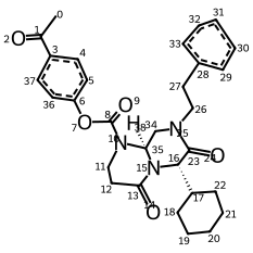 CC(=O)c1ccc(OC(=O)N2CCC(=O)N3[C@@H](C4CCCCC4)C(=O)N(CCc4ccccc4)C[C@H]23)cc1